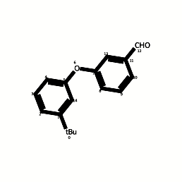 CC(C)(C)c1cccc(Oc2cccc(C=O)c2)c1